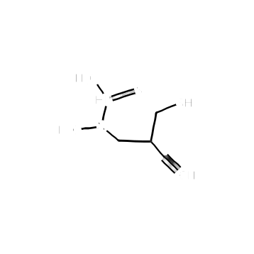 C#CC(CS)CN(C)[PH](C)=S